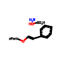 CCCCCOC=Cc1ccccc1.N.O=S(=O)(O)O